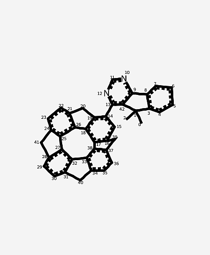 CC1(C)c2ccccc2-c2ncnc(-c3cc4c5c6c3Cc3ccc7c(c3-6)-c3c(ccc6c3-c3c(ccc(c3-5)C4)C6)C7)c21